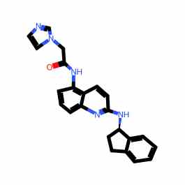 O=C(Cn1ccnc1)Nc1cccc2nc(N[C@@H]3CCc4ccccc43)ccc12